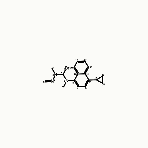 C=NN(C)C(Br)N(C)c1ccc(C2CC2)c2ccccc12